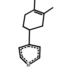 CC1=C(C)CC(c2ccncc2)CC1